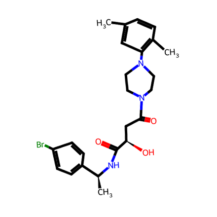 Cc1ccc(C)c(N2CCN(C(=O)C[C@@H](O)C(=O)N[C@@H](C)c3ccc(Br)cc3)CC2)c1